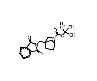 CC(C)(C)OC(=O)N1CC2(CN3C(=O)c4ccccc4C3=O)CCC1C2